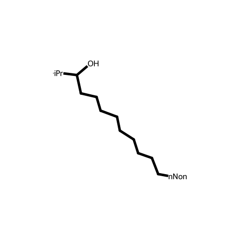 CCCCCCCCCCCCCCCCCCC(O)[C](C)C